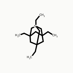 CCC12CC3(CC)CC(CC)(C1)C[Si](CC)(C2)C3